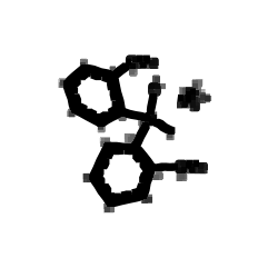 COc1ccccc1[Si](C)([O-])c1ccccc1OC.[Br-].[Mg+2]